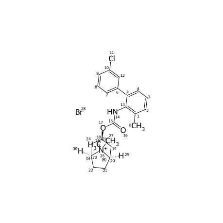 Cc1cccc(-c2cccc(Cl)c2)c1NC(=O)O[C@H]1C[C@H]2CC[C@@H](C1)[N+]2(C)C.[Br-]